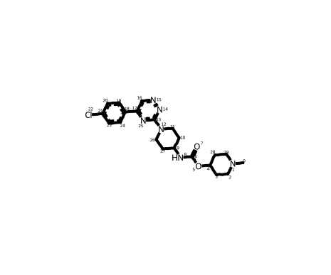 CN1CCC(OC(=O)NC2CCN(c3nncc(-c4ccc(Cl)cc4)n3)CC2)CC1